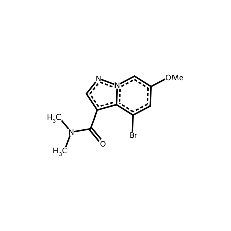 COc1cc(Br)c2c(C(=O)N(C)C)cnn2c1